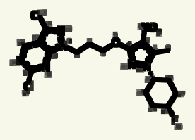 Cc1c([N+](=O)[O-])c(OCCCn2nc(Cl)c3cnc(Cl)nc32)nn1[C@H]1CC[C@H](F)CC1